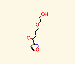 O=C(CCCOCCO)c1ccon1